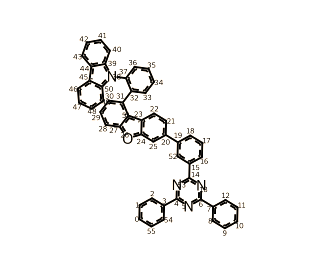 c1ccc(-c2nc(-c3ccccc3)nc(-c3cccc(-c4ccc5c(c4)oc4cccc(-c6ccccc6-n6c7ccccc7c7ccccc76)c45)c3)n2)cc1